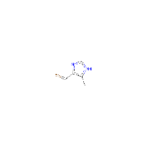 Cc1[nH]cnc1C=S